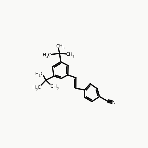 CC(C)(C)c1cc(/C=C/c2ccc(C#N)cc2)cc(C(C)(C)C)c1